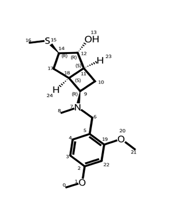 COc1ccc(CN(C)[C@@H]2C[C@@H]3[C@@H](O)[C@H](SC)C[C@@H]32)c(OC)c1